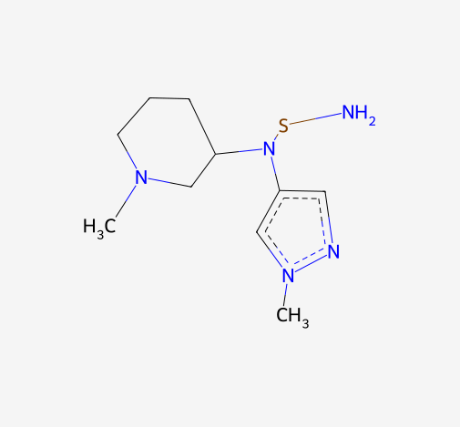 CN1CCCC(N(SN)c2cnn(C)c2)C1